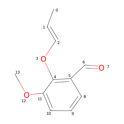 CC=COc1c(C=O)cccc1OC